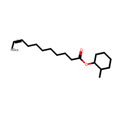 CCCCCCCC/C=C\CCCCCCCC(=O)OC1CCCCC1C